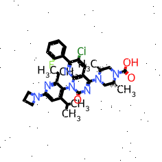 CC(C)c1cc(N2CCC2)nc(C(C)C)c1-n1c(=O)nc(N2C[C@@H](C)N(C(=O)O)C[C@@H]2C)c2cc(Cl)c(-c3ccccc3F)nc21